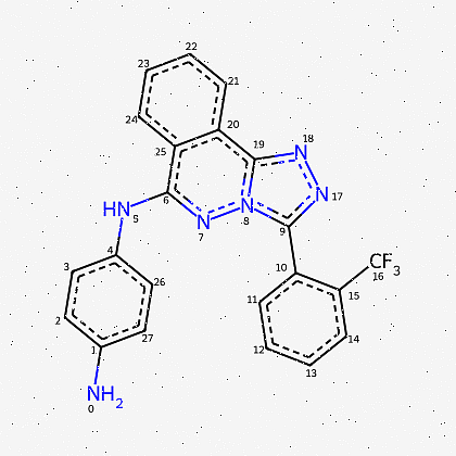 Nc1ccc(Nc2nn3c(-c4ccccc4C(F)(F)F)nnc3c3ccccc23)cc1